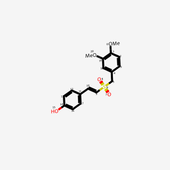 COc1ccc(CS(=O)(=O)C=Cc2ccc(O)cc2)cc1OC